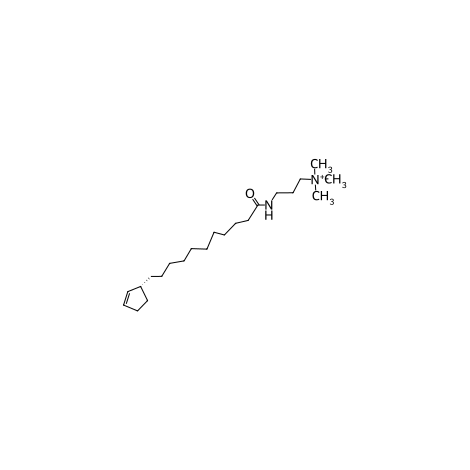 C[N+](C)(C)CCCNC(=O)CCCCCCCCCC[C@H]1C=CCC1